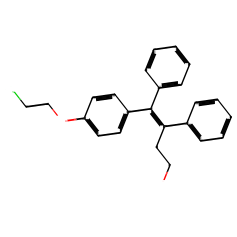 OCCC(=C(c1ccccc1)c1ccc(OCCCl)cc1)c1ccccc1